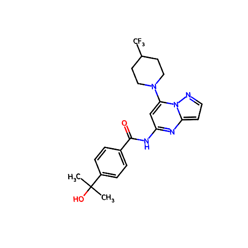 CC(C)(O)c1ccc(C(=O)Nc2cc(N3CCC(C(F)(F)F)CC3)n3nccc3n2)cc1